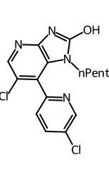 CCCCCn1c(O)nc2ncc(Cl)c(-c3ccc(Cl)cn3)c21